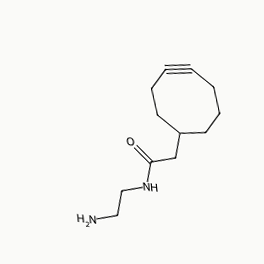 NCCNC(=O)CC1CCC#CCCC1